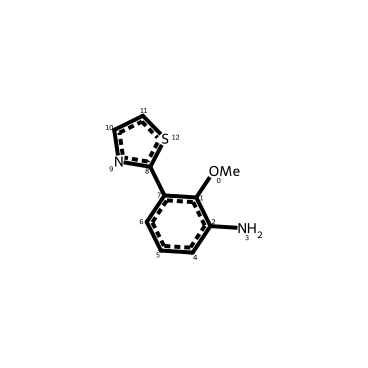 COc1c(N)cccc1-c1nccs1